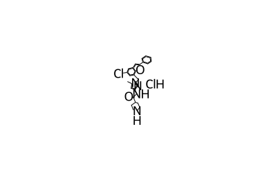 Cc1cc(NC(=O)C2CCNCC2)nn1Cc1cc(Cl)cc2cc(-c3ccccc3)oc12.Cl